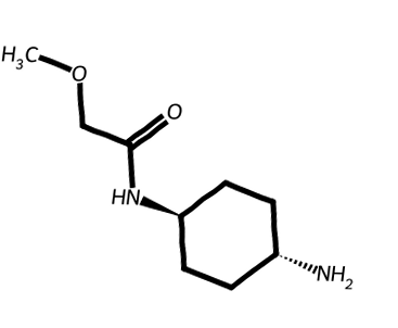 COCC(=O)N[C@H]1CC[C@H](N)CC1